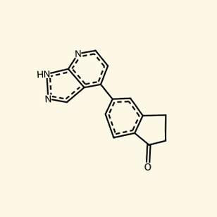 O=C1CCc2cc(-c3ccnc4[nH]ncc34)ccc21